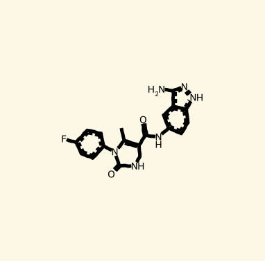 CC1=C(C(=O)Nc2ccc3[nH]nc(N)c3c2)CNC(=O)N1c1ccc(F)cc1